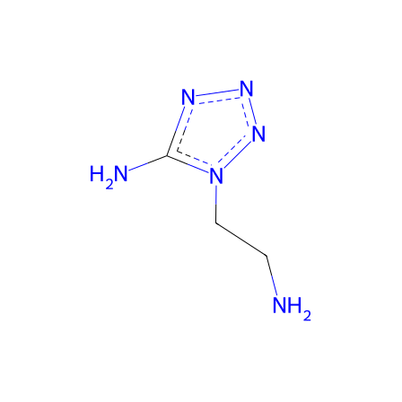 NCCn1nnnc1N